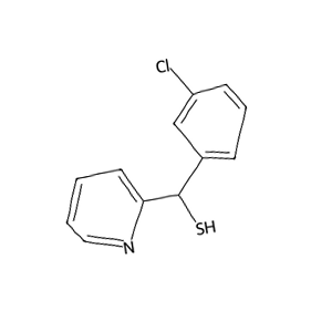 SC(c1cccc(Cl)c1)c1ccccn1